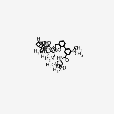 COc1c(CN2O[C@@H](CN)[C@@H]([C@H](C)O)[C@H]2C(=O)N[C@@H]2C[C@H]3CC([C@@H]2C)C3(C)C)cccc1-c1cc(C(=O)N[C@H](CN(C)C)CS(C)(=O)=O)cc(N(C)C)c1